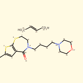 Cc1cc2c(s1)SCCN(CCCCN1CCOCC1)C2=O.O=C(O)C=CC(=O)O